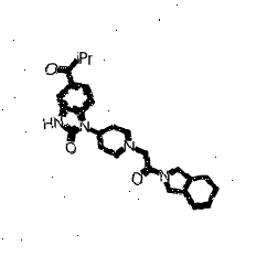 CC(C)C(=O)c1ccc2c(c1)[nH]c(=O)n2C1CCN(CC(=O)N2CC3CCCCC3C2)CC1